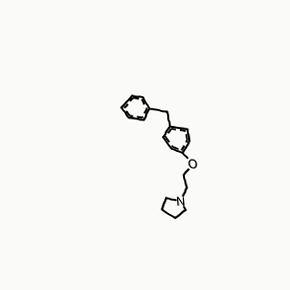 c1ccc(Cc2ccc(OCCN3CCCC3)cc2)cc1